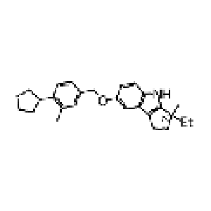 CC[C@@]1(C)CCc2c1[nH]c1ccc(OCc3ccc(C4CCCC4)c(C)c3)cc21